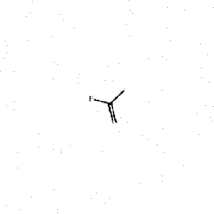 [CH]=C(C)F